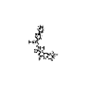 CC(C)[C@]1(F)CCc2nc3c(F)cc(C(=O)NCC[C@@H](O)c4ccc(-c5ccnnc5)nc4)cc3cc2C1